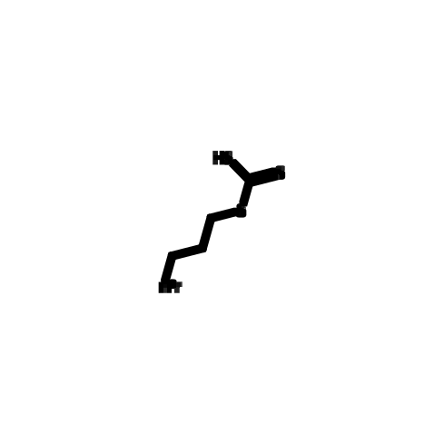 CCCCCCSC(=S)S